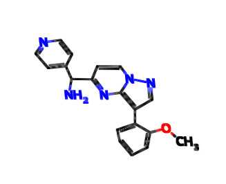 COc1ccccc1-c1cnn2ccc(C(N)c3ccncc3)nc12